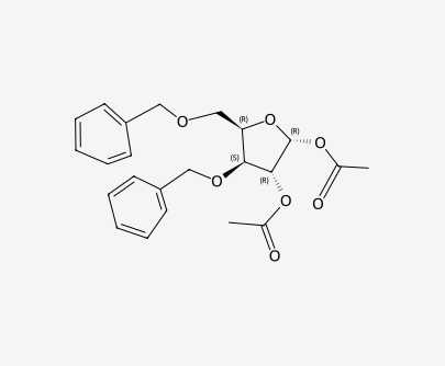 CC(=O)O[C@H]1O[C@H](COCc2ccccc2)[C@H](OCc2ccccc2)[C@H]1OC(C)=O